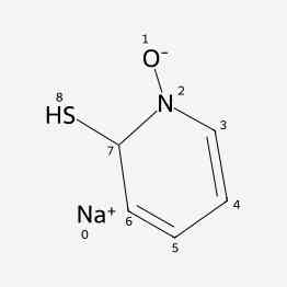 [Na+].[O-]N1C=CC=CC1S